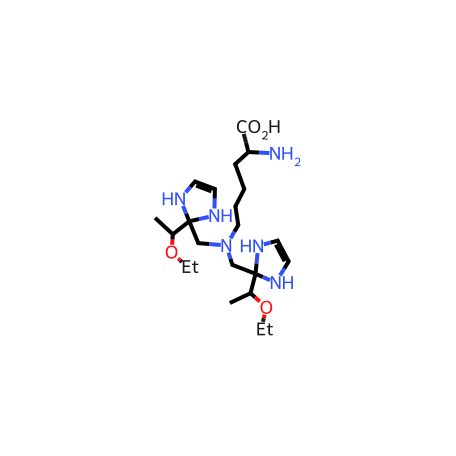 CCOC(C)C1(CN(CCCCC(N)C(=O)O)CC2(C(C)OCC)NC=CN2)NC=CN1